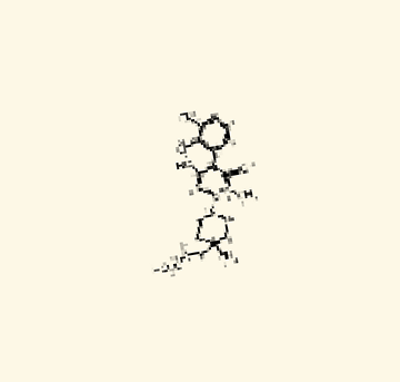 Cn1c(N2CCC(C)(CNC(=O)O)CC2)nc(C#N)c(-c2cccc(Cl)c2Cl)c1=O